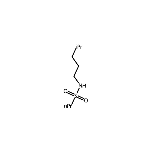 CCCS(=O)(=O)NCCCC(C)C